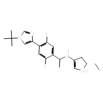 CC[C@H]1CC(NC(C)c2cc(F)c(-c3cn(C(C)(C)C)cn3)cc2F)=CN1